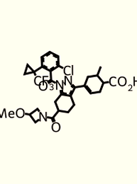 COC1CN(C(=O)C2CCc3c(C4=CCC(C(=O)O)C(C)C4)nn(C(=O)c4c(Cl)cccc4C4(C(F)(F)F)CC4)c3C2)C1